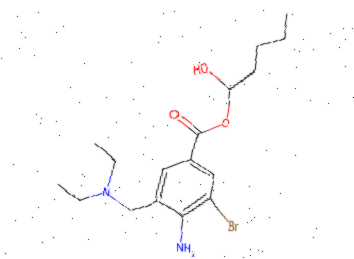 CCCCC(O)OC(=O)c1cc(Br)c(N)c(CN(CC)CC)c1